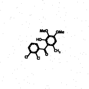 COc1cc(C)c(C(=O)c2cccc(Cl)c2Cl)c(O)c1OC